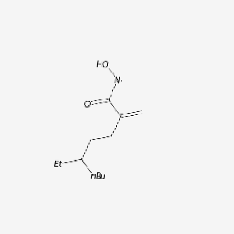 C=C(CCC(CC)CCCC)C(=O)[N]O